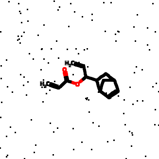 C=CC(=O)OC(C=C)C1CC2C=CC1C2